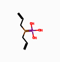 C=CCS(CC=C)=P(O)(O)O